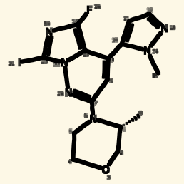 C[C@@H]1COCCN1c1cc(-c2ccnn2C)c2c(F)nc(I)n2n1